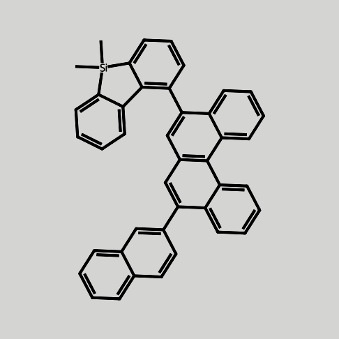 C[Si]1(C)c2ccccc2-c2c(-c3cc4cc(-c5ccc6ccccc6c5)c5ccccc5c4c4ccccc34)cccc21